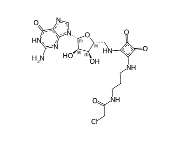 Nc1nc2c(ncn2[C@@H]2O[C@H](CNc3c(NCCCNC(=O)CCl)c(=O)c3=O)[C@@H](O)[C@H]2O)c(=O)[nH]1